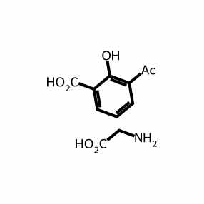 CC(=O)c1cccc(C(=O)O)c1O.NCC(=O)O